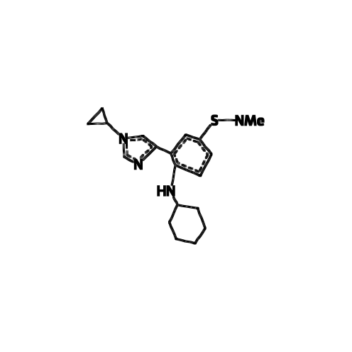 CNSc1ccc(NC2CCCCC2)c(-c2cn(C3CC3)cn2)c1